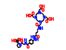 O=C(O)CN1CCN(CC(=O)O)CCN(CC(=O)NCCCC(=O)NNc2ccc(C(=O)NCC(=O)N3CCC[C@H]3B(O)O)cc2)CCN(CC(=O)O)CC1